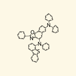 c1ccc(-c2nc3c(N(c4ccccc4)c4cccc5c4sc4ccccc45)cc4cc(N(c5ccccc5)c5ccccc5)ccc4c3o2)cc1